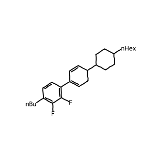 CCCCCCC1CCC(C2C=CC(c3ccc(CCCC)c(F)c3F)=CC2)CC1